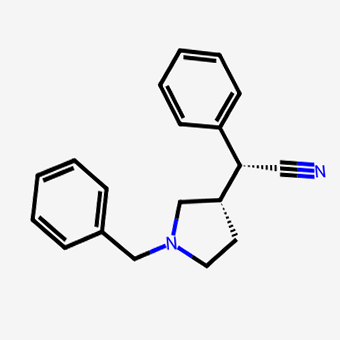 N#C[C@@H](c1ccccc1)[C@@H]1CCN(Cc2ccccc2)C1